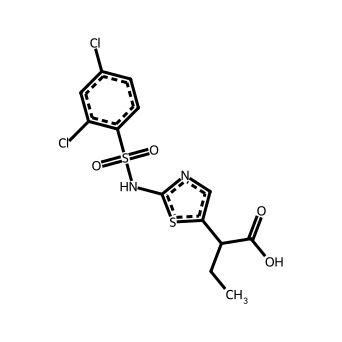 CCC(C(=O)O)c1cnc(NS(=O)(=O)c2ccc(Cl)cc2Cl)s1